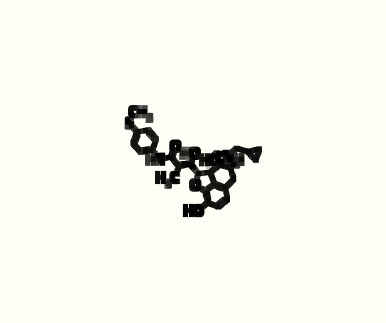 CSc1ccc(NC(=O)/C(C)=C(\O)[C@@H]2Oc3c(O)ccc4c3[C@@]23CCN(CC2CC2)[C@H](C4)[C@@]3(C)O)cc1